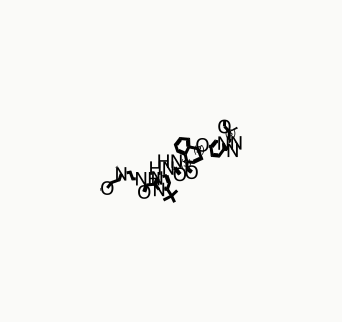 COCCN(C)CCNC(=O)c1nc(NC(=O)N[C@@]2(C=O)C=C[C@@H](Oc3ccc4nnc([C@H](C)OC)n4c3)c3ccccc32)cc(C(C)(C)C)n1